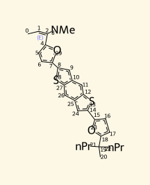 C/C=C(/NC)c1ccc(-c2cc3cc4sc(-c5ccc(C(C)(CCC)CCC)o5)cc4cc3s2)o1